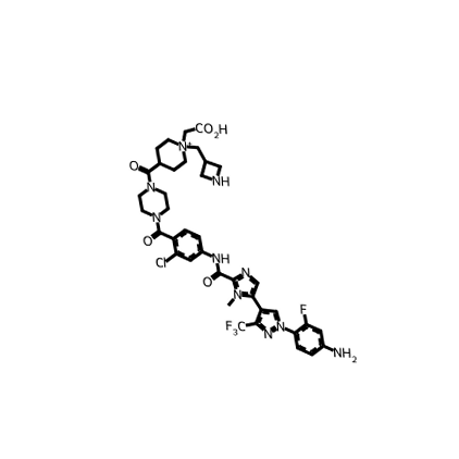 Cn1c(-c2cn(-c3ccc(N)cc3F)nc2C(F)(F)F)cnc1C(=O)Nc1ccc(C(=O)N2CCN(C(=O)C3CC[N+](CC(=O)O)(CC4CNC4)CC3)CC2)c(Cl)c1